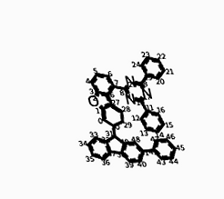 C1=c2oc3cccc(-c4nc(-c5ccccc5)nc(-c5ccccc5)n4)c3c2=CCC1C1c2ccccc2-c2ccc(-c3ccccc3)cc21